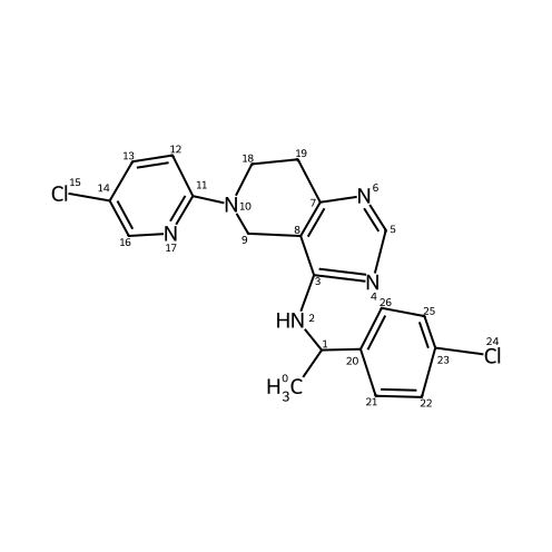 CC(Nc1ncnc2c1CN(c1ccc(Cl)cn1)CC2)c1ccc(Cl)cc1